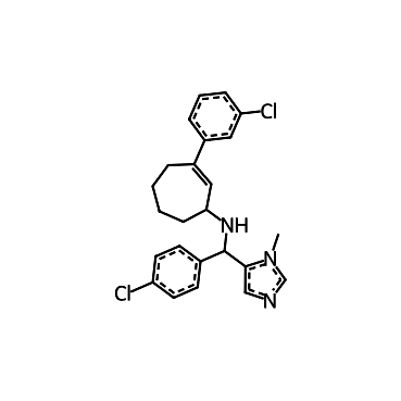 Cn1cncc1C(NC1C=C(c2cccc(Cl)c2)CCCC1)c1ccc(Cl)cc1